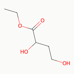 CCOC(=O)C(O)CCO